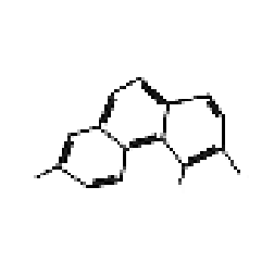 Clc1[c]c2ccc3c[c]c(Cl)c(Cl)c3c2cc1